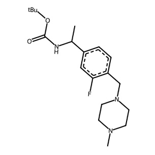 CC(NC(=O)OC(C)(C)C)c1ccc(CN2CCN(C)CC2)c(F)c1